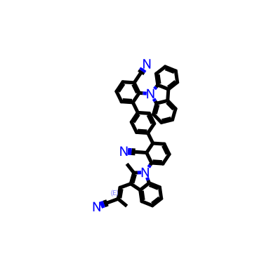 C/C(C#N)=C\c1c(C)n(C2=CC=CC(c3ccc(-c4cccc(C#N)c4-n4c5ccccc5c5ccccc54)cc3)C2C#N)c2ccccc12